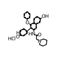 Cl.O=C(CN1CCCCC1)Nc1cc2cc(O)ccc2c(Oc2ccccc2)c1-c1ccc(O)cc1